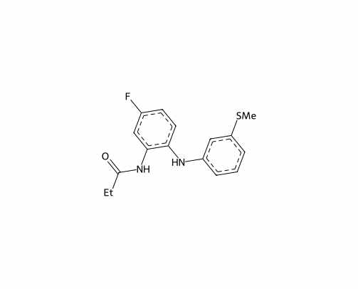 CCC(=O)Nc1cc(F)ccc1Nc1cccc(SC)c1